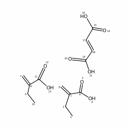 C=C(CC)C(=O)O.C=C(CC)C(=O)O.O=C(O)C=CC(=O)O